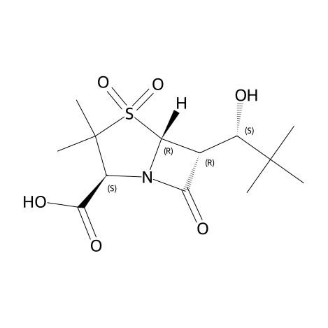 CC(C)(C)[C@@H](O)[C@@H]1C(=O)N2[C@@H](C(=O)O)C(C)(C)S(=O)(=O)[C@H]12